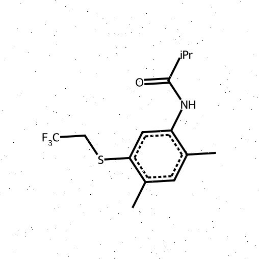 Cc1cc(C)c(SCC(F)(F)F)cc1NC(=O)C(C)C